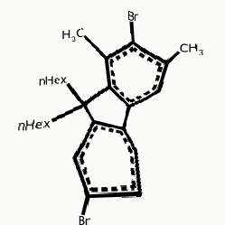 CCCCCCC1(CCCCCC)c2cc(Br)ccc2-c2cc(C)c(Br)c(C)c21